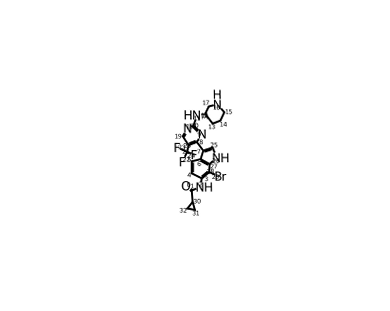 O=C(Nc1ccc2c(-c3nc(N[C@H]4CCCNC4)ncc3C(F)(F)F)c[nH]c2c1Br)C1CC1